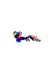 CCN(C(=O)c1cc(F)ccc1Oc1nncnc1N1CCC2(C1)CN([C@H](CCCN(C)C[C@@H](O)COC)C(C)C)C2)C(C)C